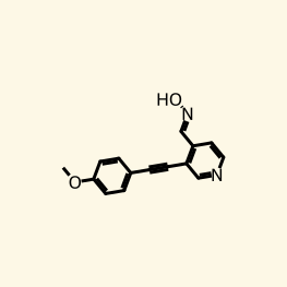 COc1ccc(C#Cc2cnccc2C=NO)cc1